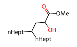 CCCCCCCC(CCCCCCC)CC(O)C(=O)OC